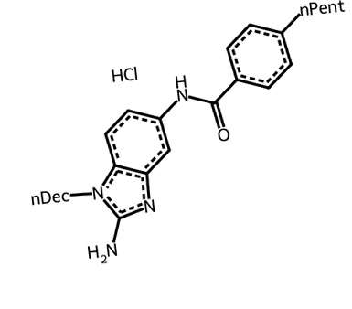 CCCCCCCCCCn1c(N)nc2cc(NC(=O)c3ccc(CCCCC)cc3)ccc21.Cl